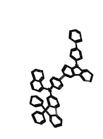 C1=CC(C2(c3ccccc3)c3ccccc3-c3ccc(N(c4ccc(-c5ccc6c(c5)c5c(n6-c6ccc(-c7ccccc7)cc6)=CCCC=5)cc4)c4cccc5ccccc45)cc32)=CCC1